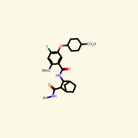 COc1cc(F)c(OC2CCC(C(=O)O)CC2)cc1C(=O)NC1C2CCC(C2)C1C(=O)NC(C)C